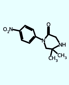 CC1(C)CN(c2ccc([N+](=O)[O-])cc2)C(=O)CN1